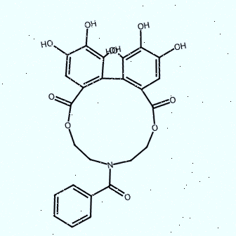 O=C1OCCN(C(=O)c2ccccc2)CCOC(=O)c2cc(O)c(O)c(O)c2-c2c1cc(O)c(O)c2O